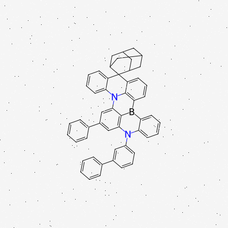 c1ccc(-c2cccc(N3c4ccccc4B4c5cccc6c5N(c5ccccc5C65C6CC7CC(C6)CC5C7)c5cc(-c6ccccc6)cc3c54)c2)cc1